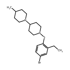 CCc1cc(Br)ccc1SN1CCC(N2CCC(C)CC2)CC1